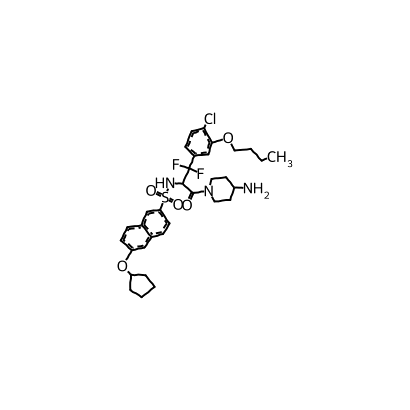 CCCCOc1cc(C(F)(F)C(NS(=O)(=O)c2ccc3cc(OC4CCCC4)ccc3c2)C(=O)N2CCC(N)CC2)ccc1Cl